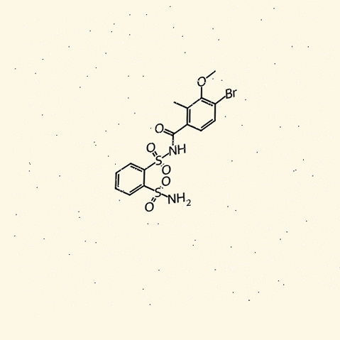 COc1c(Br)ccc(C(=O)NS(=O)(=O)c2ccccc2S(N)(=O)=O)c1C